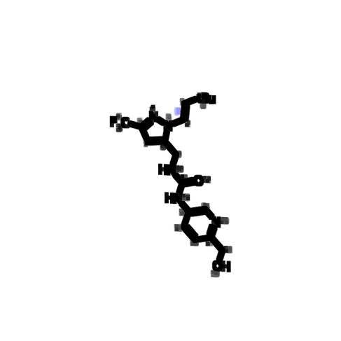 CC(C)(C)/C=C/n1nc(C(F)(F)F)cc1CNC(=O)Nc1ccc(CO)nc1